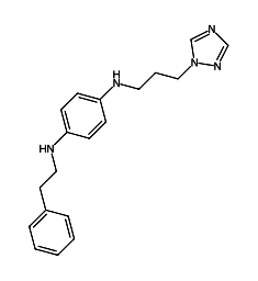 c1ccc(CCNc2ccc(NCCCn3cncn3)cc2)cc1